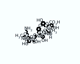 C[C@H](N)C(=O)N[C@@H](CCCCN)C(=O)N1C[C@H](O)C[C@H]1C(=O)N[C@@H](CO)C(=O)N[C@@H](Cc1ccc(O)cc1)C(=O)N1C[C@H](O)C[C@H]1C(=O)N[C@H](C(=O)N[C@@H](Cc1ccc(O)cc1)C(=O)N1C[C@H](O)C[C@H]1C(=O)O)[C@@H](C)O